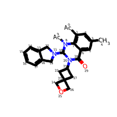 CC(=O)c1cc(C)cc2c1N(C(C)=O)C(N1Cc3ccccc3C1)N(C1CC3(COC3)C1)C2=O